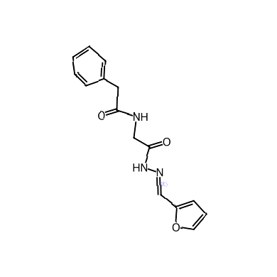 O=C(Cc1ccccc1)NCC(=O)N/N=C/c1ccco1